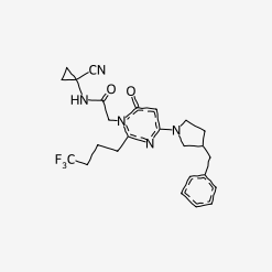 N#CC1(NC(=O)Cn2c(CCCC(F)(F)F)nc(N3CCC(Cc4ccccc4)C3)cc2=O)CC1